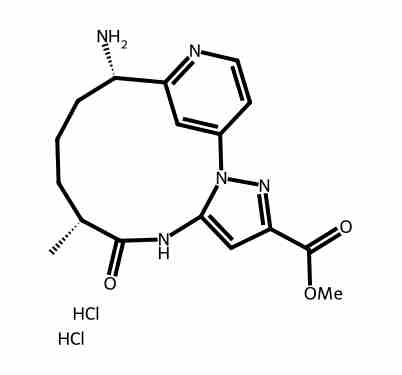 COC(=O)c1cc2n(n1)-c1ccnc(c1)[C@@H](N)CCC[C@@H](C)C(=O)N2.Cl.Cl